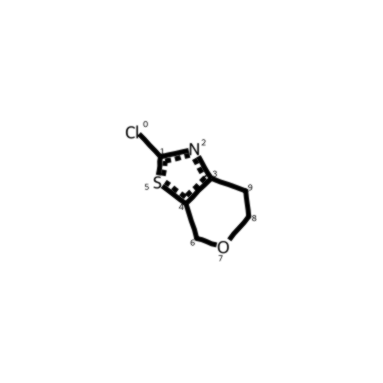 Clc1nc2c(s1)COCC2